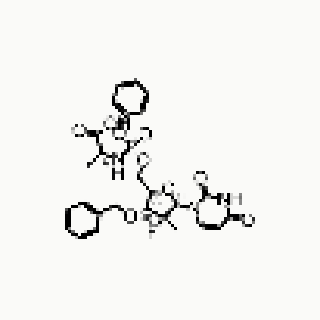 C[C@H](NP(=O)(OC[C@H]1O[C@@H](n2ccc(=O)[nH]c2=O)[C@](C)(F)[C@@H]1OCc1ccccc1)Oc1ccccc1)C(=O)O